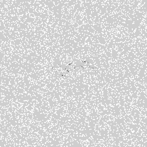 CC(C)OC(=O)[C@@](N)(CC(C)(C)C)c1ccc(-c2cnn(C3CC3)n2)cc1